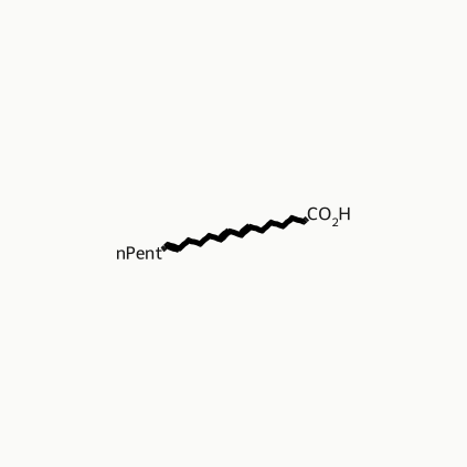 CCCCCC=CCCCC=CC=CCCCCCC(=O)O